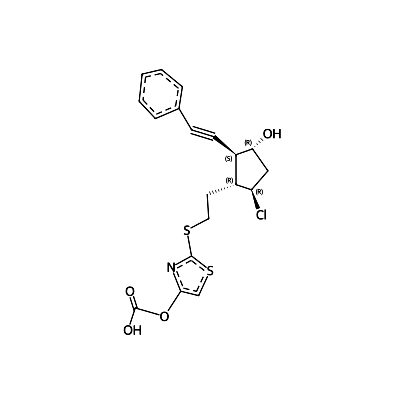 O=C(O)Oc1csc(SCC[C@@H]2[C@@H](C#Cc3ccccc3)[C@H](O)C[C@H]2Cl)n1